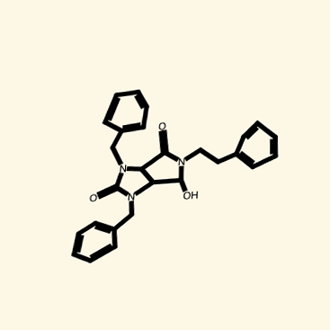 O=C1C2C(C(O)N1CCc1ccccc1)N(Cc1ccccc1)C(=O)N2Cc1ccccc1